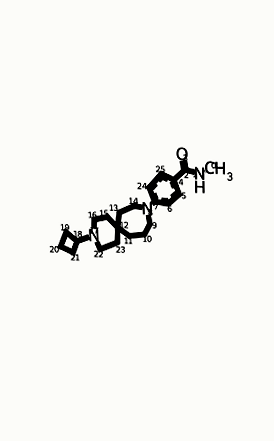 CNC(=O)c1ccc(N2CCCC3(CC2)CCN(C2CCC2)CC3)cc1